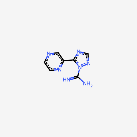 N=C(N)n1ncnc1-c1cnccn1